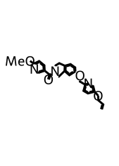 C=CCOc1ccc(COc2ccc3c(c2)CN(C(=O)c2ccc(OC)nc2)CC3)nc1